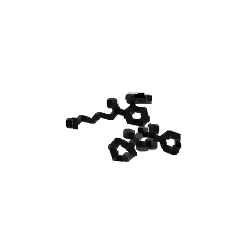 COc1ccc(N(S(=O)(=O)c2ccccc2)S(=O)(=O)c2ccccc2)cc1C(=O)CCCCCl